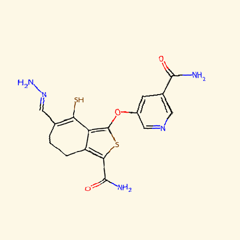 NN=CC1=C(S)c2c(Oc3cncc(C(N)=O)c3)sc(C(N)=O)c2CC1